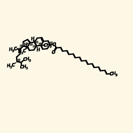 CCCCCCCCCCCCCCCCCC(=O)O[C@H]1CC[C@@]2(C)C(=CC[C@H]3[C@@H]4CC[C@H]([C@H](C)CC[C@@H](C)C(C)C)[C@@]4(C)CC[C@@H]32)C1